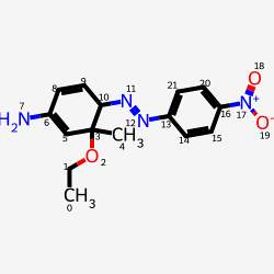 CCOC1(C)C=C(N)C=CC1N=Nc1ccc([N+](=O)[O-])cc1